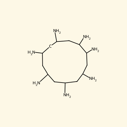 NC1CC(N)CC(N)CC(N)C(N)CC(N)CC(N)C1